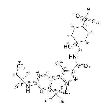 CCn1nc(C(=O)NCC2(O)CCC(S(C)(=O)=O)CC2)c(Cl)c1-c1cnc(NC(C)(C)CC(F)(F)F)cc1C(C)(F)F